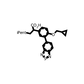 CCCC(C)CC(C(=O)O)c1ccc(OCC2CC2)c(-c2ccc3nsnc3c2)c1